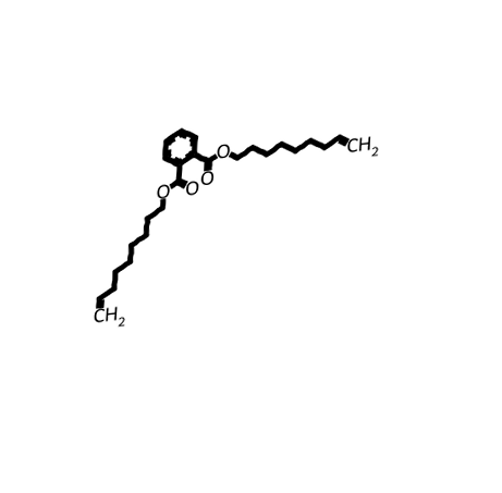 C=CCCCCCCCOC(=O)c1ccccc1C(=O)OCCCCCCCC=C